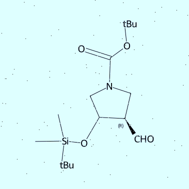 CC(C)(C)OC(=O)N1CC(O[Si](C)(C)C(C)(C)C)[C@H](C=O)C1